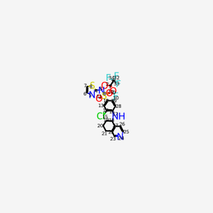 O=C(ON(c1nccs1)S(=O)(=O)c1cc(Cl)c(NC2CCCc3cnccc32)cc1F)C(F)(F)F